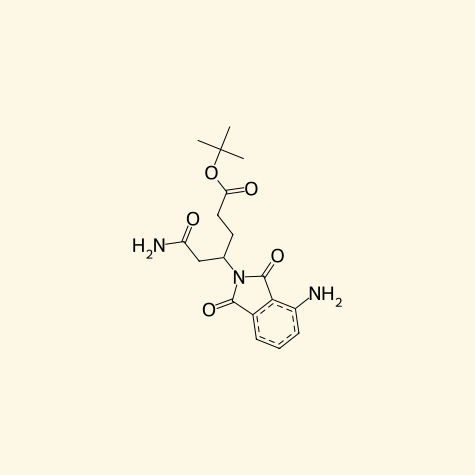 CC(C)(C)OC(=O)CCC(CC(N)=O)N1C(=O)c2cccc(N)c2C1=O